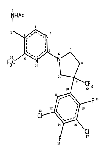 CC(=O)NCc1cnc(N2CCC(c3cc(Cl)c(F)c(Cl)c3F)(C(F)(F)F)C2)nc1C(F)(F)F